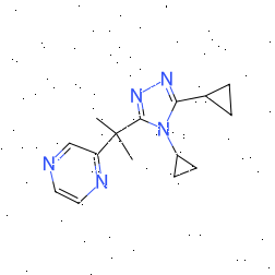 CC(C)(c1cnccn1)c1nnc(C2CC2)n1C1CC1